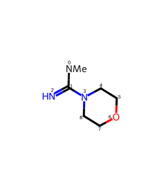 CNC(=N)N1CCOCC1